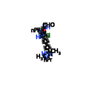 CCCN(C)Cc1nc(C)c(-c2ccc(-c3ccc(-c4[nH]c(CN(CCC)C(=O)CNC=O)nc4Cl)cc3)cc2)[nH]1